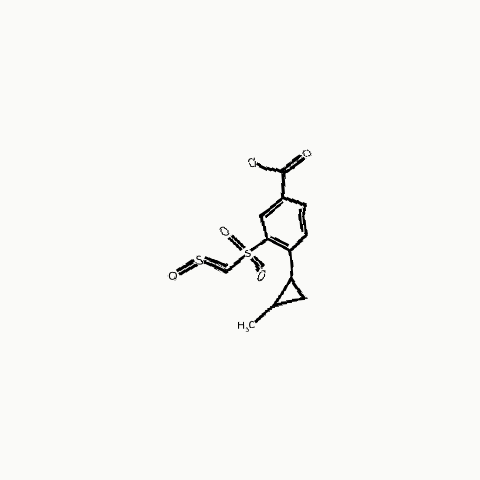 CC1CC1c1ccc(C(=O)Cl)cc1S(=O)(=O)C=S=O